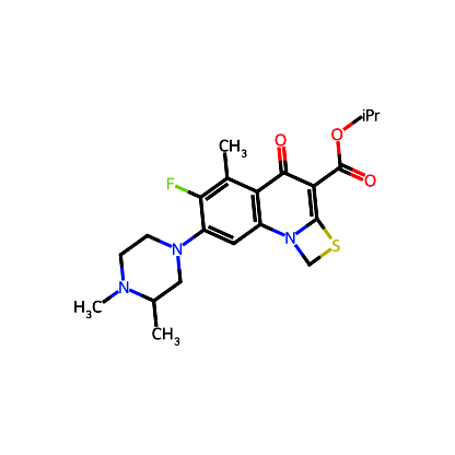 Cc1c(F)c(N2CCN(C)C(C)C2)cc2c1c(=O)c(C(=O)OC(C)C)c1n2CS1